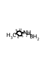 BCCNc1ccc(C)cc1